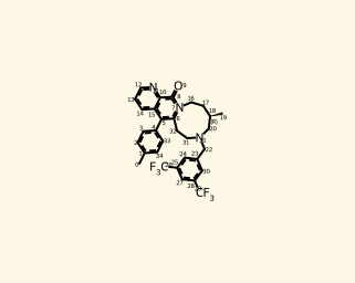 Cc1ccc(-c2c3n(c(=O)c4ncccc24)CC[C@@H](C)CN(Cc2cc(C(F)(F)F)cc(C(F)(F)F)c2)CC3)cc1